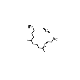 C=C=C.CC(=O)CC=C=C(C)CCCC(C)CCCC(C)C